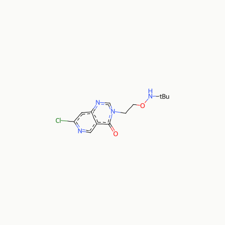 CC(C)(C)NOCCn1cnc2cc(Cl)ncc2c1=O